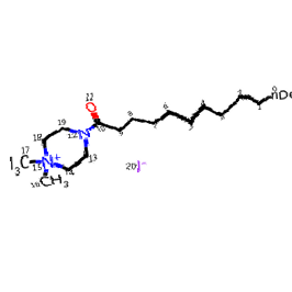 CCCCCCCCCCCCCCCCCCCC(=O)N1CC[N+](C)(C)CC1.[I-]